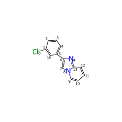 Clc1cccc(-c2cn3ccccc3n2)c1